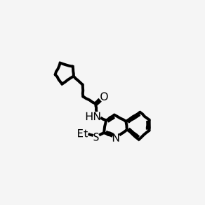 CCSc1nc2ccccc2cc1NC(=O)CCC1CCCC1